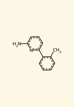 Cc1ccccc1-c1cccc(N)n1